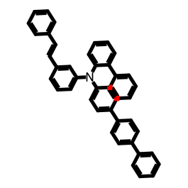 C(=C\c1cccc(N(c2ccc(-c3ccc(-c4ccccc4)cc3)cc2)c2ccccc2-c2ccccc2)c1)/c1ccccc1